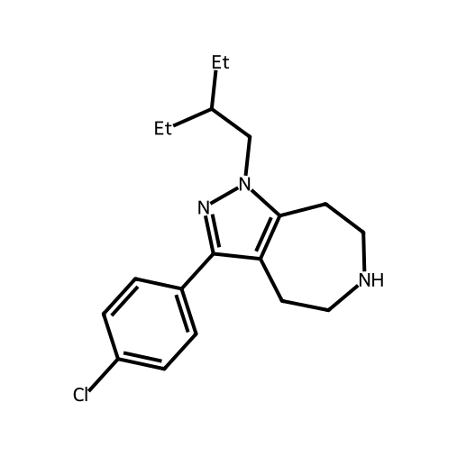 CCC(CC)Cn1nc(-c2ccc(Cl)cc2)c2c1CCNCC2